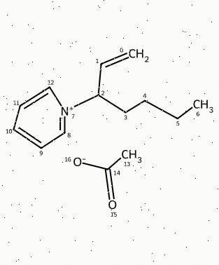 C=CC(CCCC)[n+]1ccccc1.CC(=O)[O-]